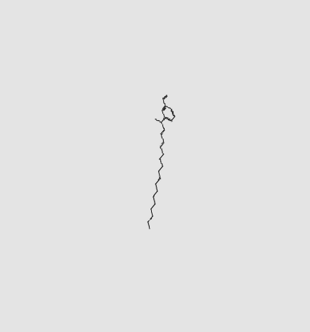 C=Cc1cccc(C(C)CCCCCCCCCCCCCCCCC)c1